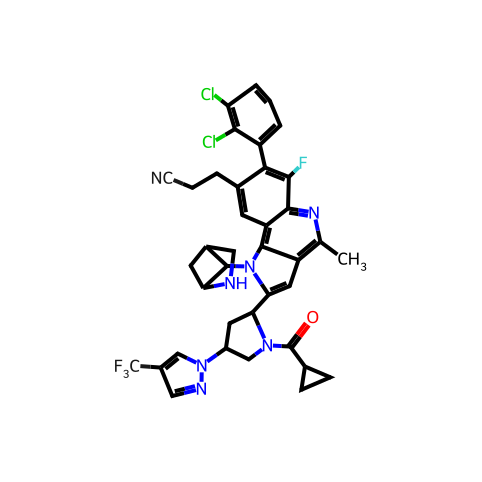 Cc1nc2c(F)c(-c3cccc(Cl)c3Cl)c(CCC#N)cc2c2c1cc(C1CC(n3cc(C(F)(F)F)cn3)CN1C(=O)C1CC1)n2C1C2CNC1C2